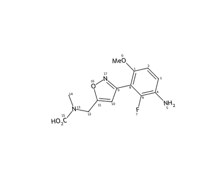 COc1ccc(N)c(F)c1-c1cc(CN(C)C(=O)O)on1